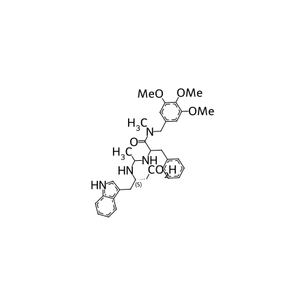 COc1cc(CN(C)C(=O)C(Cc2ccccc2)NC(C)N[C@H](CC(=O)O)Cc2c[nH]c3ccccc23)cc(OC)c1OC